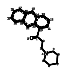 O=C(CCN1CCCCC1)c1cccc2cc3ccccc3cc12